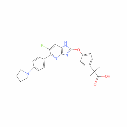 CC(C)(C(=O)O)c1ccc(Oc2nc3nc(-c4ccc(N5CCCC5)cc4)c(F)cc3[nH]2)cc1